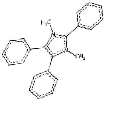 Cn1c(-c2ccccc2)c(-c2ccccc2)[n+](C)c1-c1ccccc1